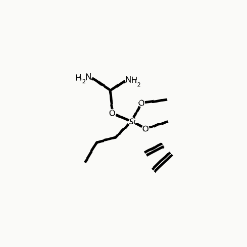 C=C.C=C.CCC[Si](OC)(OC)OC(N)N